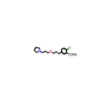 COc1cc(CCCOCCCN2CCCC2)ccc1F